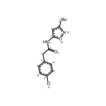 CC(C)(C)c1cc(NC(=O)Cc2ccc(Cl)cc2)on1